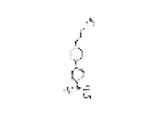 CCCCCC1CCC(c2ccc(N(C)C(=O)O)cc2)CC1